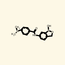 CN(C)c1ccc(C(=O)Nc2ccc3c(c2)B(O)OC3)cc1